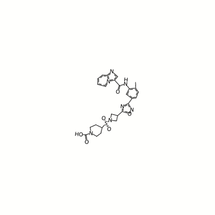 Cc1ccc(-c2noc(C3CN(S(=O)(=O)C4CCN(C(=O)O)CC4)C3)n2)cc1NC(=O)c1cnc2ccccn12